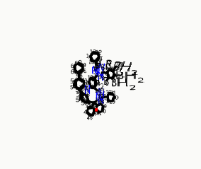 Bc1c(B)c(B)c(-c2nc(-c3ccccc3)nc(-c3ccc4c(c3)-c3nc(-c5ccccc5)nc(n3)C(c3ccccc3)(c3ccccc3)c3ccc5c6ccc(-c7ccccc7)cc6n-4c5c3)n2)c(B)c1B